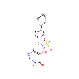 CS(=O)(=O)N[C@H](Cc1nc[nH]c(=O)c1O)c1ccc(-c2ccccc2)cc1